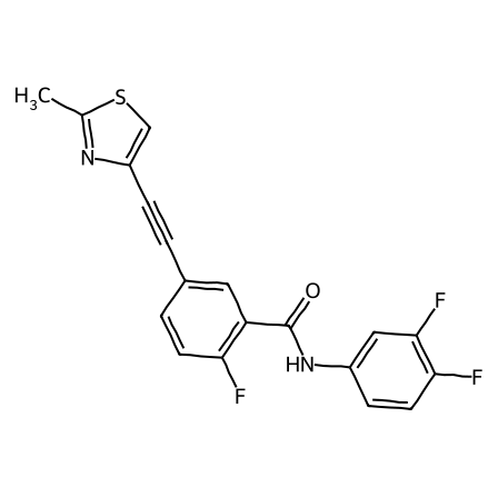 Cc1nc(C#Cc2ccc(F)c(C(=O)Nc3ccc(F)c(F)c3)c2)cs1